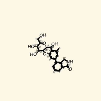 Cc1cc(-c2cccc3c2CNC3=O)ccc1[C@@H](O)[C@H]1OC(CO)[C@@H](O)[C@H](O)C1O